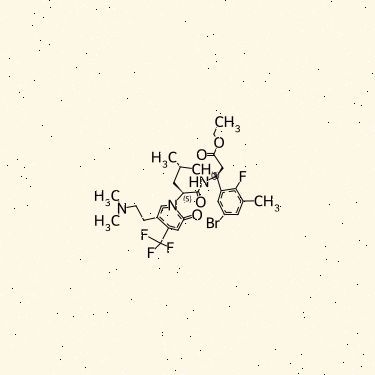 CCOC(=O)C[C@H](NC(=O)[C@H](CC(C)C)n1cc(CCN(C)C)c(C(F)(F)F)cc1=O)c1cc(Br)cc(C)c1F